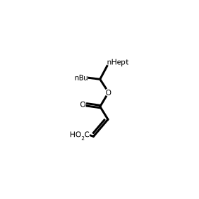 CCCCCCCC(CCCC)OC(=O)/C=C\C(=O)O